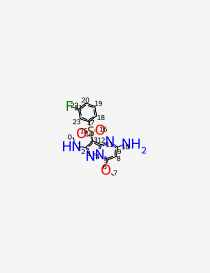 CNc1nn2c(OC)cc(N)nc2c1S(=O)(=O)c1cccc(F)c1